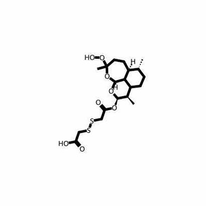 C[C@@H]1CCC2C3[C@H](O[C@H](OC(=O)CSSCC(=O)O)[C@@H]2C)OC(C)(OO)CC[C@H]31